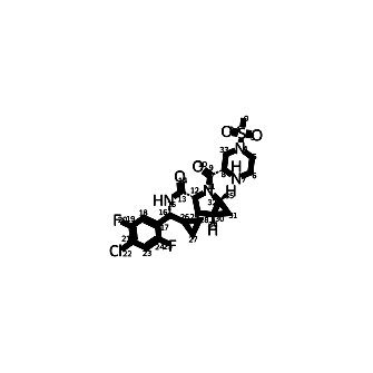 CS(=O)(=O)N1CCN[C@H](C(=O)N2[C@@H](C(=O)N[C@@H](c3cc(F)c(Cl)cc3F)C3CC3)C[C@H]3C[C@H]32)C1